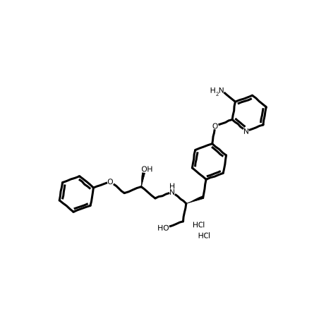 Cl.Cl.Nc1cccnc1Oc1ccc(C[C@@H](CO)NC[C@H](O)COc2ccccc2)cc1